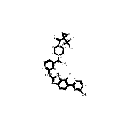 Cc1cc(-c2ccc3nc(Nc4cc(C(C)N5CCN(C(=O)C6(C(F)(F)F)CC6)CC5)ccn4)[nH]c3c2F)ncn1